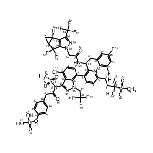 CC(C)(CCc1ccc(-c2ccc(Cl)c3c(N(C(=O)Cc4ccc(OP(=O)(O)O)cc4)S(C)(=O)=O)nn(CC(F)(F)F)c23)c([C@H](Cc2cc(F)cc(F)c2)NC(=O)Cn2nc(C(F)(F)F)c3c2C(F)(F)C2C[C@H]32)n1)S(C)(=O)=O